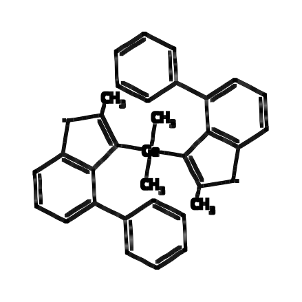 CC1=[C]([Ge]([CH3])([CH3])[C]2=C(C)[CH]c3cccc(-c4ccccc4)c32)c2c(cccc2-c2ccccc2)[CH]1